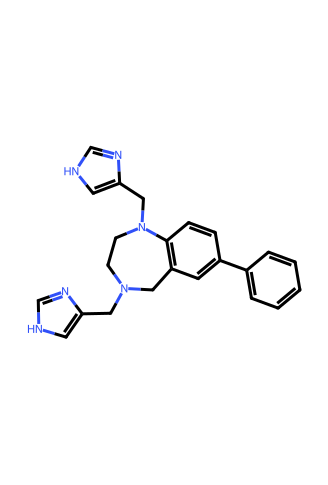 c1ccc(-c2ccc3c(c2)CN(Cc2c[nH]cn2)CCN3Cc2c[nH]cn2)cc1